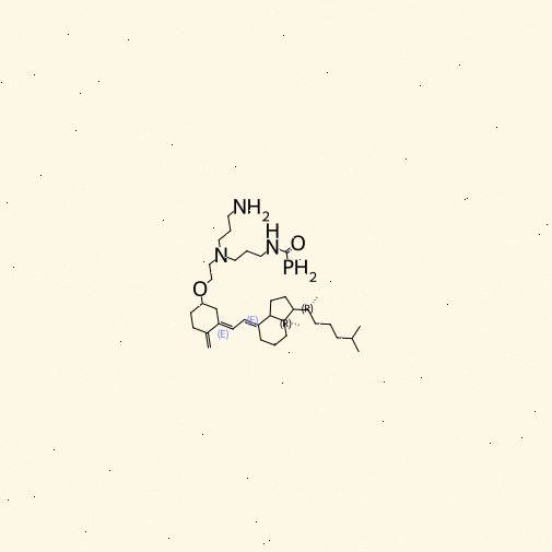 C=C1CCC(OCCN(CCCN)CCCNC(=O)P)C/C1=C\C=C1/CCC[C@@]2(C)C1CCC2[C@H](C)CCCC(C)C